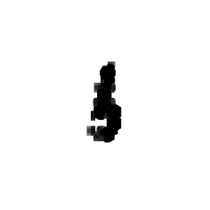 C[C@H]1CN(Cc2ccc(-c3cccc(-n4c(=O)n(C5CCC(NC(=O)c6cn7cc(F)ccc7n6)CC5)c(=O)c5cc(F)cnc54)c3)cc2)CCN1